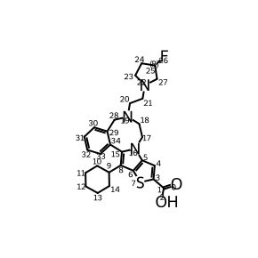 O=C(O)c1cc2c(s1)c(C1CCCCC1)c1n2CCN(CCN2CC[C@@H](F)C2)Cc2ccccc2-1